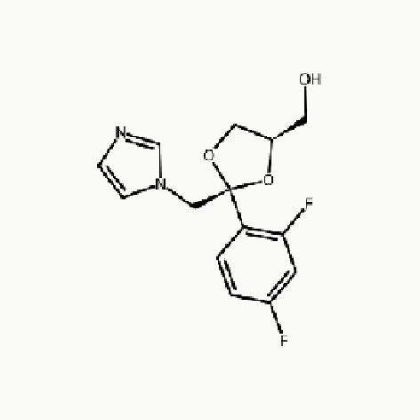 OC[C@@H]1CO[C@@](Cn2ccnc2)(c2ccc(F)cc2F)O1